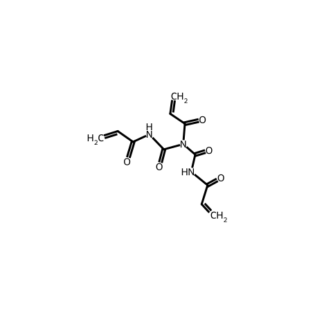 C=CC(=O)NC(=O)N(C(=O)C=C)C(=O)NC(=O)C=C